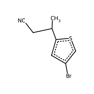 CC(CC#N)c1cc(Br)cs1